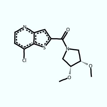 CO[C@H]1CN(C(=O)c2cc3nccc(Cl)c3s2)C[C@H]1OC